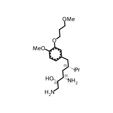 COCCCOc1cc(C[C@@H](C[C@H](N)[C@@H](O)CN)C(C)C)ccc1OC